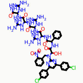 N=C(N)NC(NC(=O)C(NC(=N)N)NC(=O)C(NC(=N)N)NC(=O)C(NC(=N)N)NC(=O)C(NC(=O)C(O)N(Cc1ccccc1[N+](=O)[O-])c1nc(-c2ccc(Cl)cc2)cc(-c2ccc(Cl)cc2)n1)c1ccccc1)C(N)=O